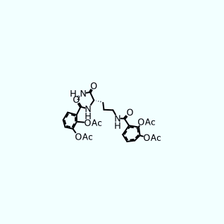 CC(=O)Oc1cccc(C(=O)NCCC[C@H](NC(=O)c2cccc(OC(C)=O)c2OC(C)=O)C(N)=O)c1OC(C)=O